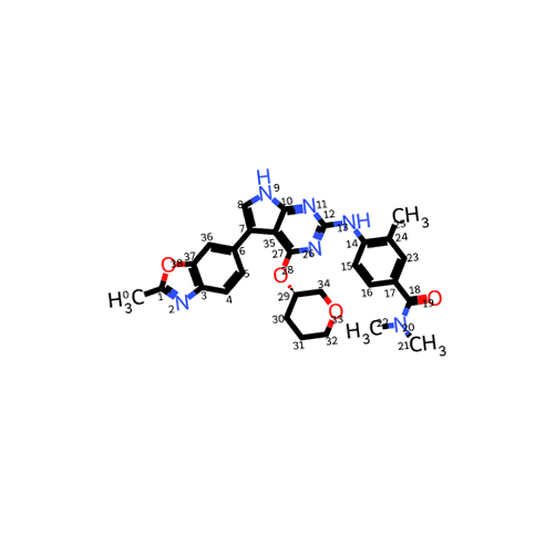 Cc1nc2ccc(-c3c[nH]c4nc(Nc5ccc(C(=O)N(C)C)cc5C)nc(O[C@H]5CCCOC5)c34)cc2o1